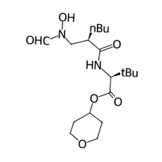 CCCC[C@H](CN(O)C=O)C(=O)N[C@H](C(=O)OC1CCOCC1)C(C)(C)C